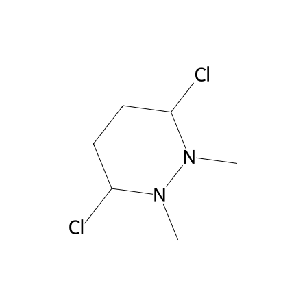 CN1C(Cl)CCC(Cl)N1C